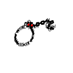 COC(=O)NC(C(=O)N1C(c2ncc(-c3ccc(-c4ccc(-c5cnc(C6C7CCC(C7)N6C(=O)C(NC(=O)OC)C(C)C)[nH]5)cc4)cc3)[nH]2)CCCCCCCCCCCCCCCCCCCCCCCCCCCCCCCC2CC21)C(C)C